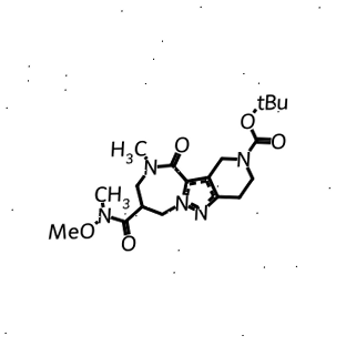 CON(C)C(=O)C1CN(C)C(=O)c2c3c(nn2C1)CCN(C(=O)OC(C)(C)C)C3